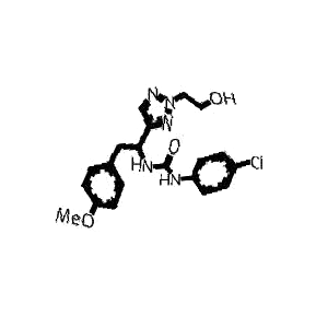 COc1ccc(CC(NC(=O)Nc2ccc(Cl)cc2)c2cnn(CCO)n2)cc1